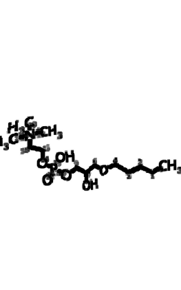 CCCCCOCC(O)COP(=O)(O)OCC[N+](C)(C)C